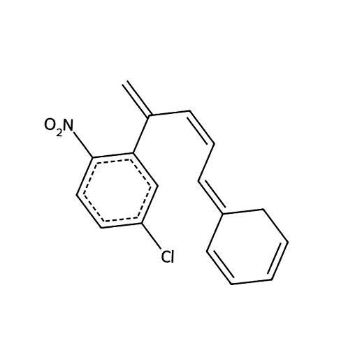 C=C(/C=C\C=C1\C=CC=CC1)c1cc(Cl)ccc1[N+](=O)[O-]